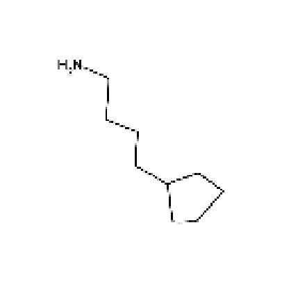 NCCCCC1CCCC1